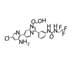 Nc1cc(Cl)cnc1-c1ccn2c(-c3cccc(NC(=O)NCC(F)(F)F)c3)cnc2c1.O=CO